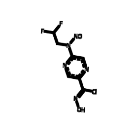 O=NN(CC(F)F)c1cnc(C(Cl)=NO)cn1